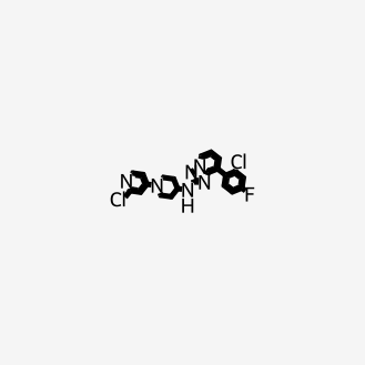 Fc1ccc(-c2cccn3nc(NC4CCN(c5ccnc(Cl)c5)CC4)nc23)c(Cl)c1